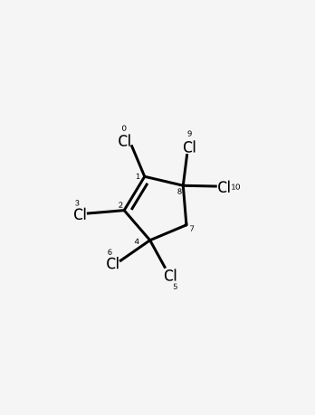 ClC1=C(Cl)C(Cl)(Cl)CC1(Cl)Cl